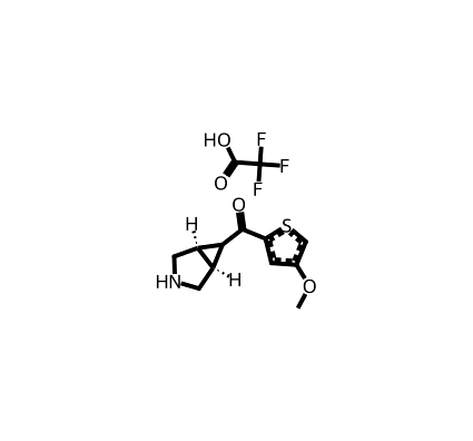 COc1csc(C(=O)C2[C@H]3CNC[C@@H]23)c1.O=C(O)C(F)(F)F